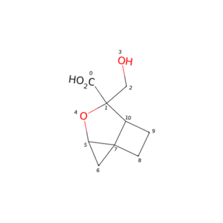 O=C(O)C1(CO)OC2CC23CCC13